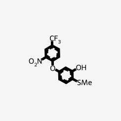 CSc1ccc(Oc2ccc(C(F)(F)F)cc2[N+](=O)[O-])cc1O